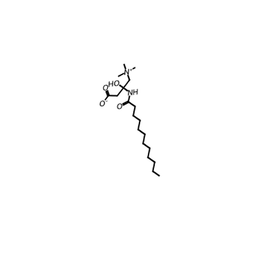 CCCCCCCCCCCC(=O)NC(O)(CC(=O)[O-])C[N+](C)(C)C